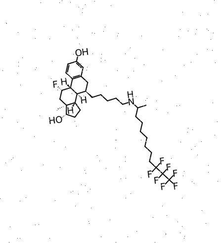 CC(CCCCCCCC(F)(F)C(F)(F)C(F)(F)F)NCCCCC[C@@H]1Cc2cc(O)ccc2[C@@H]2[C@@H]1[C@@H]1CC[C@H](O)[C@@]1(C)C[C@@H]2F